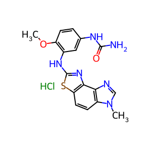 COc1ccc(NC(N)=O)cc1Nc1nc2c(ccc3c2ncn3C)s1.Cl